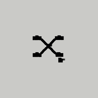 CCCC[N+](CCCC)(CCCC)C(C)(C)C.[Br-]